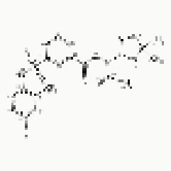 CC1(C)OCC(C(OC(=O)c2cccc(S(=O)(=O)Nc3ccc(F)cc3C(F)(F)F)c2)C(N)=O)O1